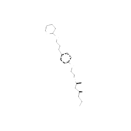 CCCC(=O)CC(=O)OCCOc1ccc(CCCOC2CCCCO2)cc1